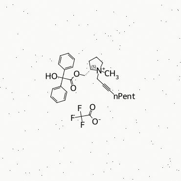 CCCCCC#CC[N+]1(C)CCC[C@H]1COC(=O)C(O)(c1ccccc1)c1ccccc1.O=C([O-])C(F)(F)F